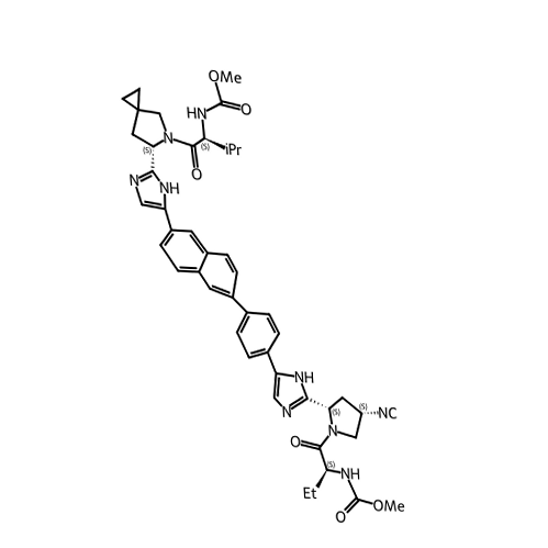 [C-]#[N+][C@H]1C[C@@H](c2ncc(-c3ccc(-c4ccc5cc(-c6cnc([C@@H]7CC8(CC8)CN7C(=O)[C@@H](NC(=O)OC)C(C)C)[nH]6)ccc5c4)cc3)[nH]2)N(C(=O)[C@H](CC)NC(=O)OC)C1